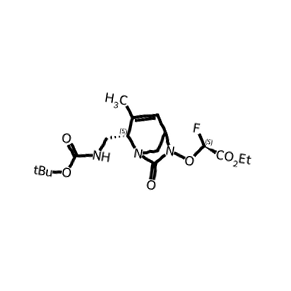 CCOC(=O)[C@H](F)ON1C(=O)N2CC1C=C(C)[C@H]2CNC(=O)OC(C)(C)C